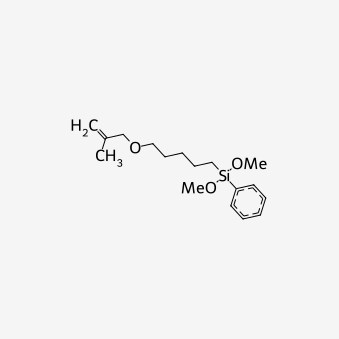 C=C(C)COCCCCC[Si](OC)(OC)c1ccccc1